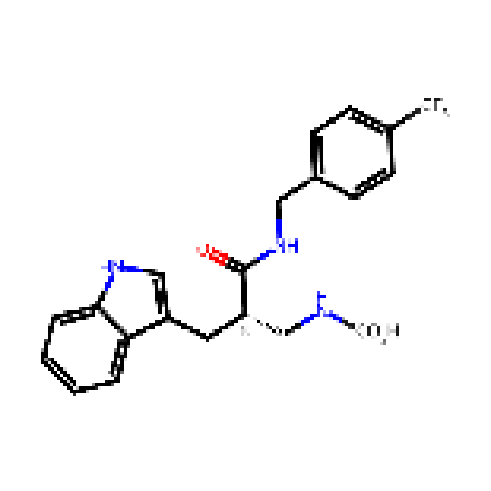 O=C(O)NC[C@H](Cc1c[nH]c2ccccc12)C(=O)NCc1ccc(C(F)(F)F)cc1